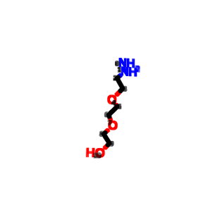 NNCCOCCOCCO